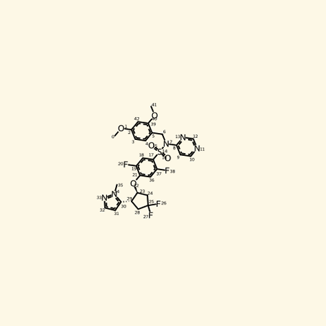 COc1ccc(CN(c2ccncn2)S(=O)(=O)c2cc(F)c(O[C@H]3CC(F)(F)C[C@@H]3c3ccnn3C)cc2F)c(OC)c1